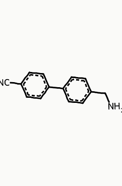 N#Cc1ccc(-c2ccc(CN)cc2)cc1